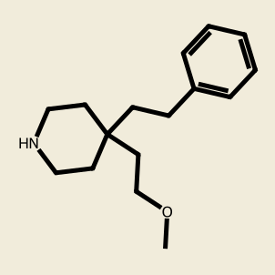 COCCC1(CCc2ccccc2)CCNCC1